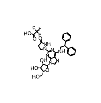 O=C(O)C(F)(F)F.O=C1CCN(c2nc(NCC(c3ccccc3)c3ccccc3)c3ncn([C@@H]4O[C@H](CO)[C@@H](O)[C@H]4O)c3n2)N1